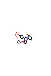 COC(=O)c1ccc(C2c3c(OCc4ccccc4)cccc3N(c3ccc(F)c(C)c3)C2SC(C)C)cc1